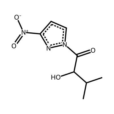 CC(C)C(O)C(=O)n1ccc([N+](=O)[O-])n1